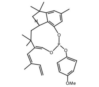 C=C/C(C)=C\C1=C/OP(Oc2ccc(OC)cc2)Oc2cc(C)cc3c2[C@@H](CC1(C)C)CC3(C)C